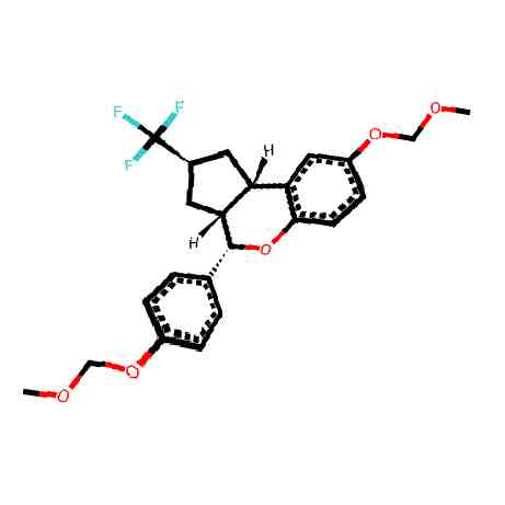 COCOc1ccc([C@H]2Oc3ccc(OCOC)cc3[C@H]3C[C@H](C(F)(F)F)C[C@H]32)cc1